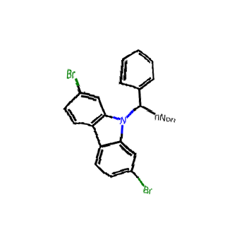 CCCCCCCCCC(c1ccccc1)n1c2cc(Br)ccc2c2ccc(Br)cc21